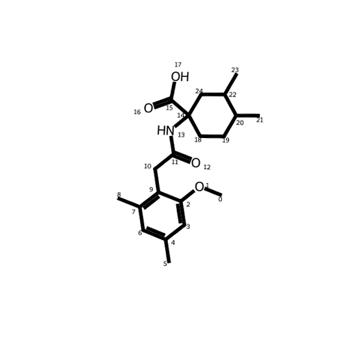 COc1cc(C)cc(C)c1CC(=O)NC1(C(=O)O)CCC(C)C(C)C1